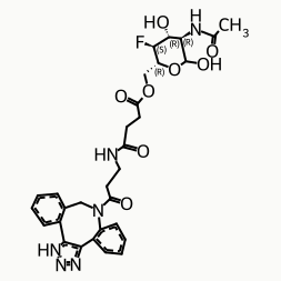 CC(=O)N[C@H]1C(O)O[C@H](COC(=O)CCC(=O)NCCC(=O)N2Cc3ccccc3-c3[nH]nnc3-c3ccccc32)[C@@H](F)[C@@H]1O